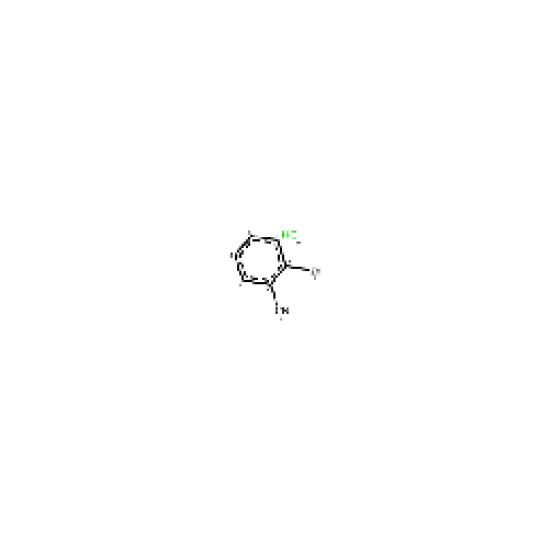 Cl.N#Cc1cccc[c]1[Zn]